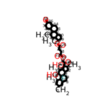 C=C1C=C[C@@]2(C)C(=C1)CCC1C3C[C@H](C)[C@](O)(C(=O)COC(=O)CCC(=O)O[C@H]4CCC5C6CCC7=CC(=O)CCC7C6[C@@H](C)C[C@@]54C)[C@@]3(C)C[C@H](O)[C@@]12F